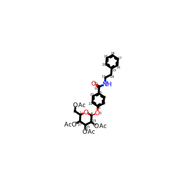 CC(=O)OCC1O[C@@H](Oc2ccc(C(=O)NCCc3ccccc3)cc2)C(OC(C)=O)C(OC(C)=O)C1OC(C)=O